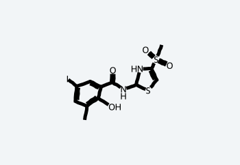 Cc1cc(I)cc(C(=O)NC2NC(S(C)(=O)=O)=CS2)c1O